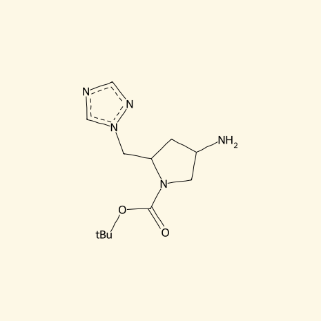 CC(C)(C)OC(=O)N1CC(N)CC1Cn1cncn1